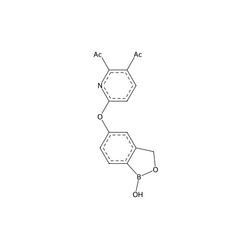 CC(=O)c1ccc(Oc2ccc3c(c2)COB3O)nc1C(C)=O